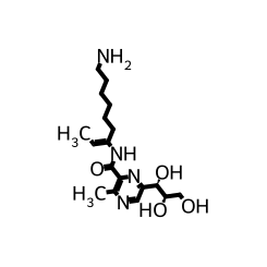 CC=C(CCCCCCN)NC(=O)c1nc([C@H](O)[C@H](O)CO)cnc1C